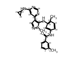 Cc1cccc(C(=O)Nc2ccc(C)c(Nc3c(-c4cc(NC5CC5)ncn4)cnn3C)c2)c1